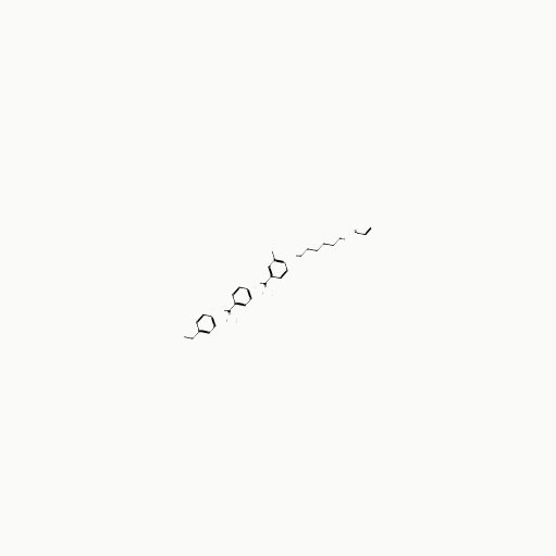 C=CC(=O)OCCCCCCOc1ccc(C(=O)Oc2ccc(C(=O)Oc3ccc(CC)cc3)cc2)cc1C